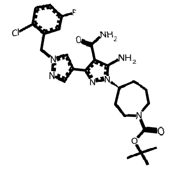 CC(C)(C)OC(=O)N1CCC[C@H](n2nc(-c3cnn(Cc4cc(F)ccc4Cl)c3)c(C(N)=O)c2N)CC1